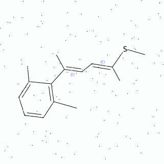 CS/C(C)=C/C=C(\C)c1c(C)cccc1C